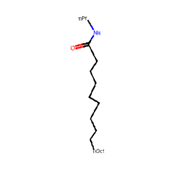 [CH2]CCNC(=O)CCCCCCCCCCCCCCCC